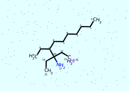 CCCCCCCC(CC)C(N)(CC)CC.I